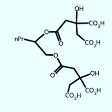 CCCC(COC(=O)CC(O)(CC(=O)O)C(=O)O)OC(=O)CC(O)(CC(=O)O)C(=O)O